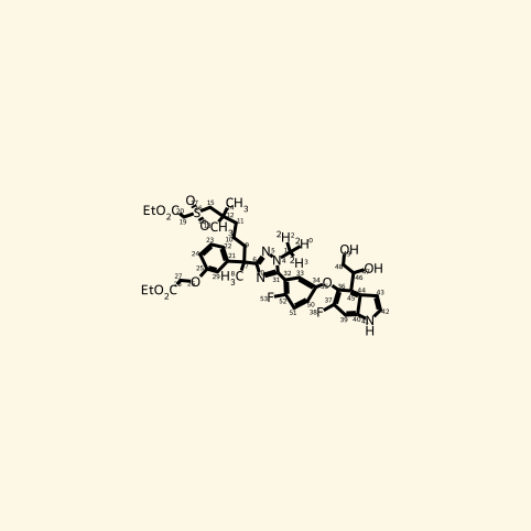 [2H]C([2H])([2H])n1nc(C(C)(CCCC(C)(C)CS(=O)(=O)CC(=O)OCC)c2cccc(OCC(=O)OCC)c2)nc1-c1cc(Oc2c(F)cc3[nH]ccc3c2C(O)CO)ccc1F